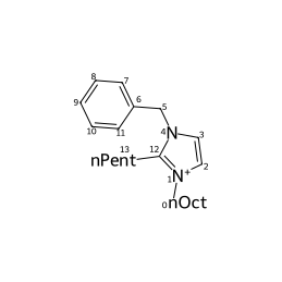 CCCCCCCC[n+]1ccn(Cc2ccccc2)c1CCCCC